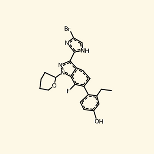 CCc1cc(O)ccc1-c1ccc2c(-c3nc(Br)c[nH]3)nn(C3CCCCO3)c2c1F